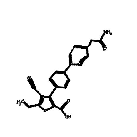 CCc1sc(C(=O)O)c(-c2ccc(-c3ccc(CC(N)=O)cc3)cc2)c1C#N